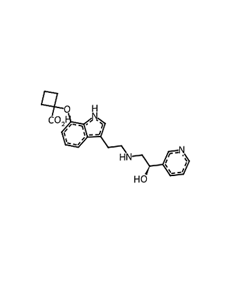 O=C(O)C1(Oc2cccc3c(CCNC[C@H](O)c4cccnc4)c[nH]c23)CCC1